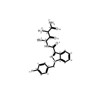 CC(C)(C)[C@H](NC(=O)c1nn(Cc2ccc(F)cc2)c2ccccc12)C(=O)C(N)C(N)=O